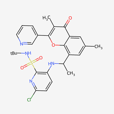 Cc1cc(C(C)Nc2ccc(Cl)nc2S(=O)(=O)NC(C)(C)C)c2oc(-c3cccnc3)c(C)c(=O)c2c1